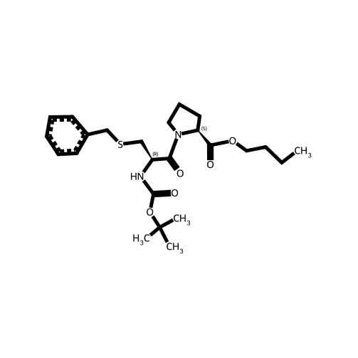 CCCCOC(=O)[C@@H]1CCCN1C(=O)[C@H](CSCc1ccccc1)NC(=O)OC(C)(C)C